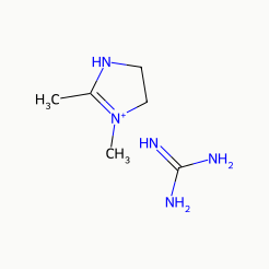 CC1=[N+](C)CCN1.N=C(N)N